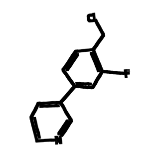 Fc1cc(-c2cccnc2)ccc1CCl